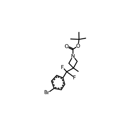 CC(C)(C)OC(=O)N1CC(C)(C(F)(F)c2ccc(Br)cc2)C1